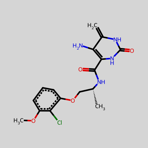 C=C1NC(=O)NC(C(=O)N[C@H](C)COc2cccc(OC)c2Cl)=C1N